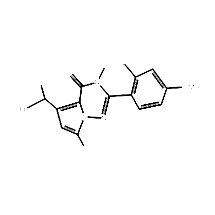 CCCC(CCC)c1cc(C)n2nc(-c3ccc(OC)cc3Cl)n(C)c(=O)c12